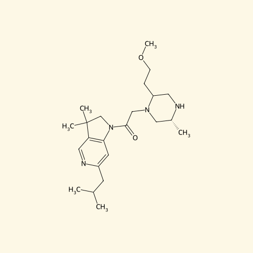 COCCC1CN[C@H](C)CN1CC(=O)N1CC(C)(C)c2cnc(CC(C)C)cc21